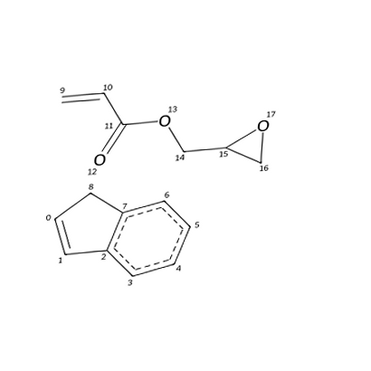 C1=Cc2ccccc2C1.C=CC(=O)OCC1CO1